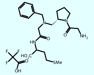 CSCCC(NC(=O)CN(Cc1ccccc1)C[C@@H]1CCCN1C(=O)CN)C(=O)O.O=C(O)C(F)(F)F